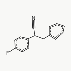 N#CC(Cc1ccccc1)c1ccc(F)cc1